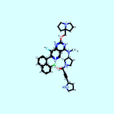 CN(c1nc(OCC23CCCN2CCC3)nc2c(F)c(-c3cccc4cccc(Cl)c34)ncc12)C1CCN(C(=O)C#CC2CCCN2)C1